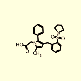 Cc1cc(Cc2ccccc2S(=O)(=O)N2CCCC2)c(-c2ccccc2)n1CC(=O)O